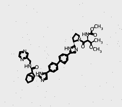 COC(=O)N[C@H](C(=O)N1CCC[C@H]1c1ncc(-c2ccc(-c3ccc(-c4cnc([C@@H]5C6CCC(C6)C5C(=O)NCc5cnccn5)[nH]4)cc3)cc2)[nH]1)[C@@H](C)OC